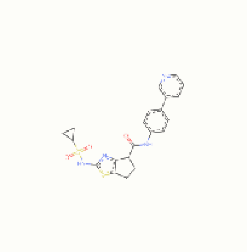 O=C(Nc1ccc(-c2cccnc2)cc1)C1CCc2sc(NS(=O)(=O)C3CC3)nc21